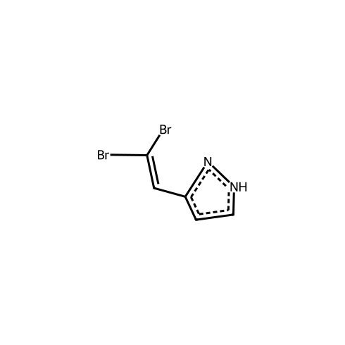 BrC(Br)=Cc1cc[nH]n1